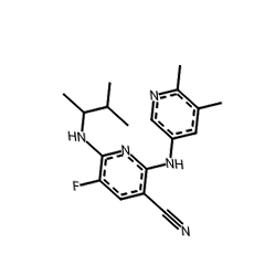 Cc1cc(Nc2nc(NC(C)C(C)C)c(F)cc2C#N)cnc1C